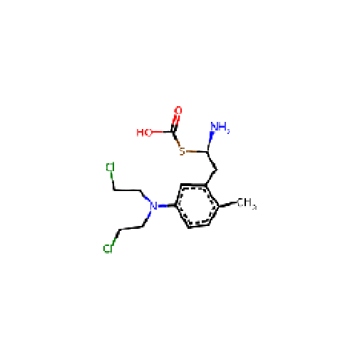 Cc1ccc(N(CCCl)CCCl)cc1C[C@H](N)SC(=O)O